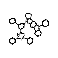 c1ccc(-c2cc(-c3nc(-c4ccccc4)nc(-c4ccccc4)n3)cc(-n3c4c(c5cc6c(cc53)c3ccccc3n6-c3ccccc3)CCCC4)c2)cc1